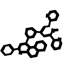 C=N/C(=C\C(=C/Cc1ccccn1)c1cccc(-c2cc(C3=CC=CCC3)nc3ccc4ccccc4c23)c1)c1ccccn1